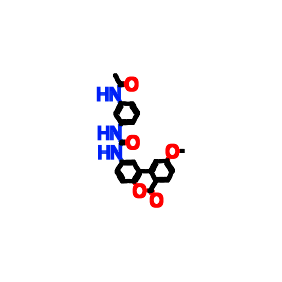 COc1ccc2c(=O)oc3ccc(NC(=O)Nc4cccc(NC(C)=O)c4)cc3c2c1